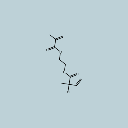 C=CC(C)(Cl)C(=O)OCCOC(=O)C(=C)C